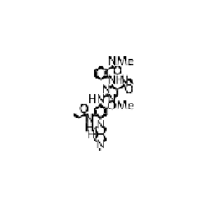 C=CC(=O)Nc1cc(Nc2ncc(-c3ncco3)c(Nc3ccccc3C(=O)NC)n2)c(OC)cc1N1CC2CN(C)C[C@@H]2C1